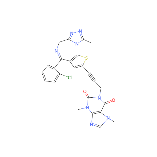 Cc1nnc2n1-c1sc(C#CCn3c(=O)c4c(ncn4C)n(C)c3=O)cc1C(c1ccccc1Cl)=NC2